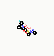 O=c1oc2cc3n(c(=O)c2c(O)c1Sc1ccccc1-n1nnc2ccccc21)-c1ccc(F)cc1C31CCCCC1